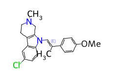 COc1ccc(/C(C)=C/n2c3c(c4cc(Cl)ccc42)CCN(C)C3)cc1